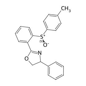 Cc1ccc([S@@+]([O-])c2ccccc2C2=NC(c3ccccc3)CO2)cc1